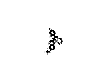 N/N=C\N(N)CC(c1ccc(F)cc1F)C(F)(F)c1cnc2cc(OC(F)(F)F)ccc2n1